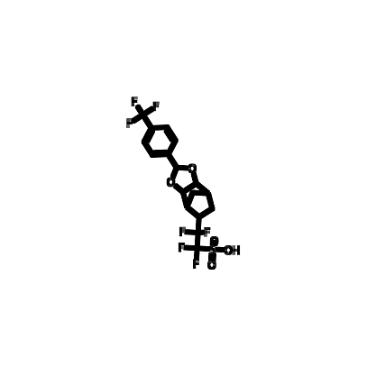 O=S(=O)(O)C(F)(F)C(F)(F)C1CC2CC1C1OC(c3ccc(C(F)(F)F)cc3)OC21